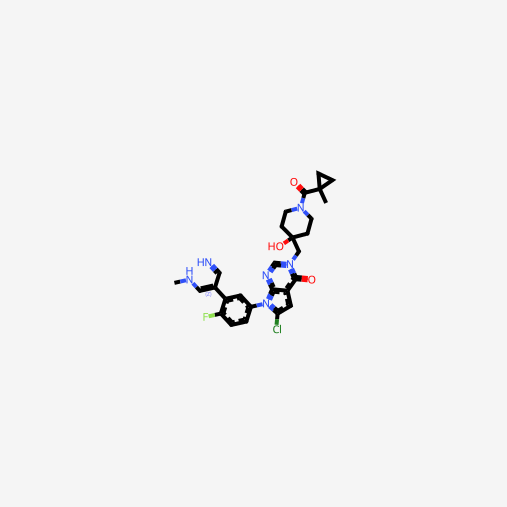 CN/C=C(\C=N)c1cc(-n2c(Cl)cc3c(=O)n(CC4(O)CCN(C(=O)C5(C)CC5)CC4)cnc32)ccc1F